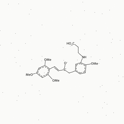 COc1cc(OC)c(C=C[S+]([O-])Cc2ccc(OC)c(NCCC(=O)O)c2)c(OC)c1